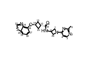 Cc1nccc(N2CC(NC(=O)[C@H]3C[C@H](Oc4cccc5scnc45)C3)C2)n1